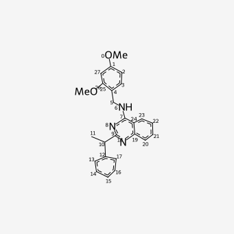 COc1ccc(CNc2nc(C(C)c3ccccc3)nc3ccccc23)c(OC)c1